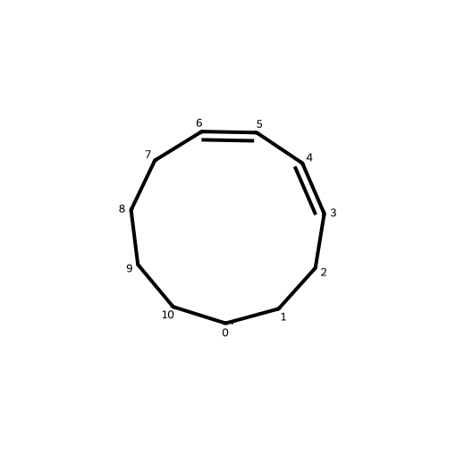 [CH]1CC/C=C\C=C/CCCC1